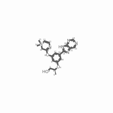 C[C@@H](CO)Oc1cc(OC2=NC=C[N+](C)(C)C2)cc(-c2nc3cncnc3[nH]2)c1